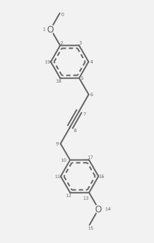 COc1ccc(CC#CCc2ccc(OC)cc2)cc1